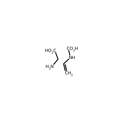 C=CNC(=O)O.NCC(=O)O